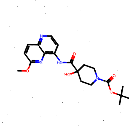 COc1ccc2nccc(NC(=O)C3(O)CCN(C(=O)OC(C)(C)C)CC3)c2n1